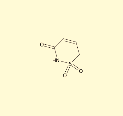 O=C1C=CCS(=O)(=O)N1